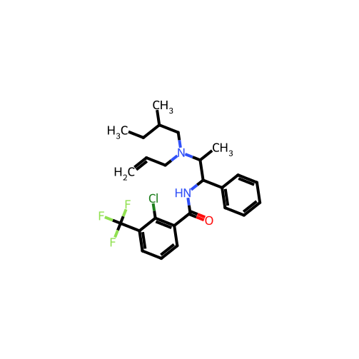 C=CCN(CC(C)CC)C(C)C(NC(=O)c1cccc(C(F)(F)F)c1Cl)c1ccccc1